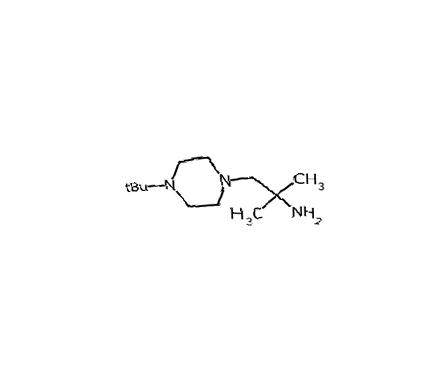 CC(C)(N)CN1CCN(C(C)(C)C)CC1